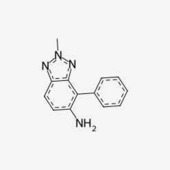 Cn1nc2ccc(N)c(-c3ccccc3)c2n1